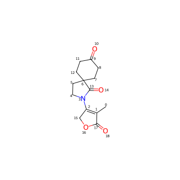 CC1=C(N2CCC3(CCC(=O)CC3)C2=O)COC1=O